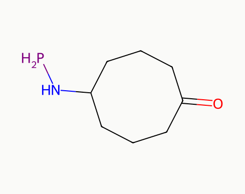 O=C1CCCC(NP)CCC1